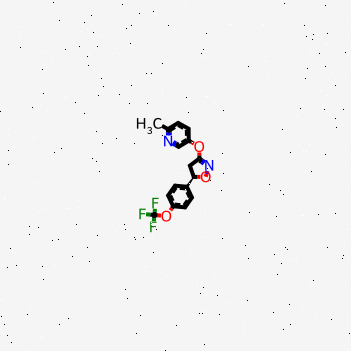 Cc1ccc(OC2=NO[C@@H](c3ccc(OC(F)(F)F)cc3)C2)cn1